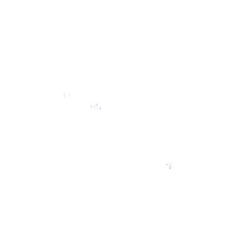 CCC(C)(C)Nc1ccc2sncc2c1